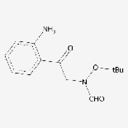 CC(C)(C)ON(C=O)CC(=O)c1ccccc1N